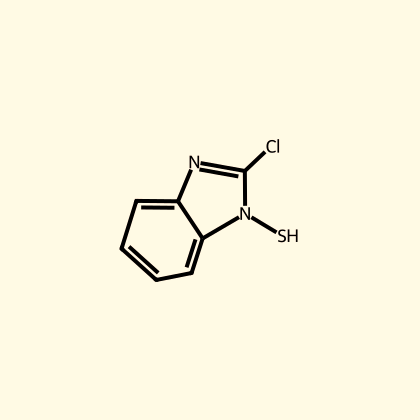 Sn1c(Cl)nc2ccccc21